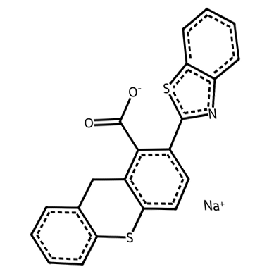 O=C([O-])c1c(-c2nc3ccccc3s2)ccc2c1Cc1ccccc1S2.[Na+]